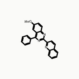 COc1ccc2nc(-c3ccc4ccccc4n3)nc(-c3ccccc3)c2c1